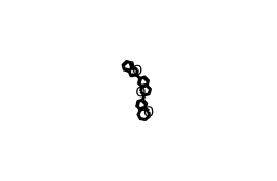 c1ccc2c(c1)CC(c1ccc3c(c1)OC(c1ccc4c(c1)OCCCC4)CC3)O2